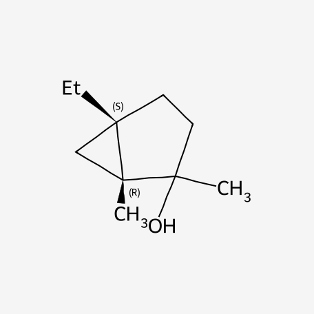 CC[C@@]12CCC(C)(O)[C@]1(C)C2